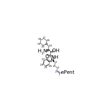 CCCCC/C=C\CCCN(NC(=O)C(O)[C@H](N)CC1CCCCC1)c1ccccc1